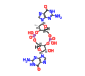 C[C@H]1C2OP(=O)(O)OC[C@H]3O[C@@H](n4cnc5c(=O)[nH]c(N)nc54)[C@@H](O)C3OP(=O)(O)OC[C@H]2O[C@H]1n1cnc2c(=O)[nH]c(N)nc21